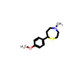 COc1ccc(C2CCN(C)CCS2)cc1